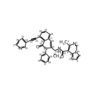 Cc1ncn2ccnc2c1C(=O)N[C@H](C)c1cc2cccc(C#Cc3cccnc3)c2c(=O)n1-c1ccccc1